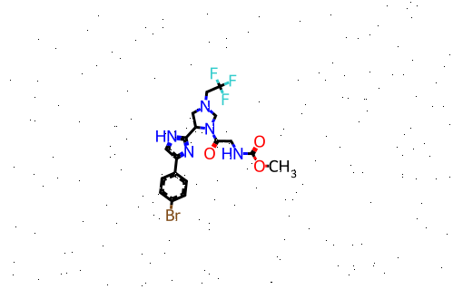 COC(=O)NCC(=O)N1CN(CC(F)(F)F)CC1c1nc(-c2ccc(Br)cc2)c[nH]1